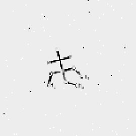 C[O][Ti]([O]C)([O]C)[C](F)(F)F